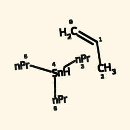 C=CC.CC[CH2][SnH]([CH2]CC)[CH2]CC